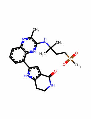 Cc1nc2cccc(-c3cc4c([nH]3)CCNC4=O)c2nc1NC(C)(C)CCS(C)(=O)=O